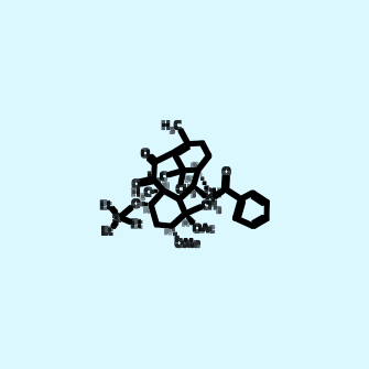 CC[Si](CC)(CC)O[C@H]1C[C@@H](OC)[C@](C)(OC(C)=O)C2[C@H](OC(=O)c3ccccc3)[C@]3(O)CCC(C)=C(C(=O)C(=O)[C@@]21C)C3(C)C